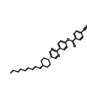 CCCCCCCCC[C@H]1CC[C@H](c2cnc(-c3ccc(OC(=O)c4ccc(C#N)cc4)cc3)nc2)CC1